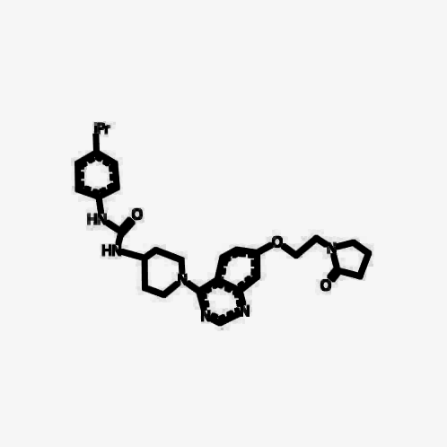 CC(C)c1ccc(NC(=O)NC2CCN(c3ncnc4cc(OCCN5CCCC5=O)ccc34)CC2)cc1